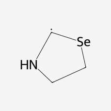 [CH]1NCC[Se]1